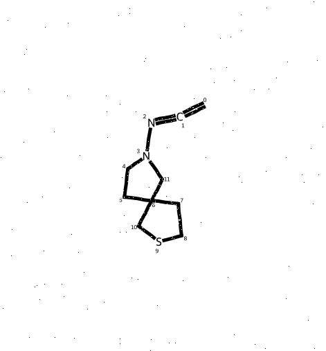 C=C=NN1CCC2(CCSC2)C1